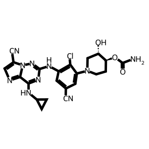 N#Cc1cc(Nc2nc(NC3CC3)c3ncc(C#N)n3n2)c(Cl)c(N2CC[C@H](OC(N)=O)[C@@H](O)C2)c1